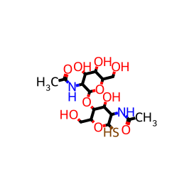 CC(=O)NC1C(S)OC(CO)C(OC2OC(CO)C(O)C(O)C2NC(C)=O)C1O